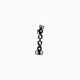 CS(=O)(=O)c1ccc(N2CCC(C3CCN(c4ccc(Br)cn4)CC3)CC2)cc1